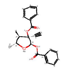 C#C[C@]1(OC(=O)c2ccccc2)[C@@H](OC(=O)c2ccccc2)O[C@H](CC)[C@H]1C